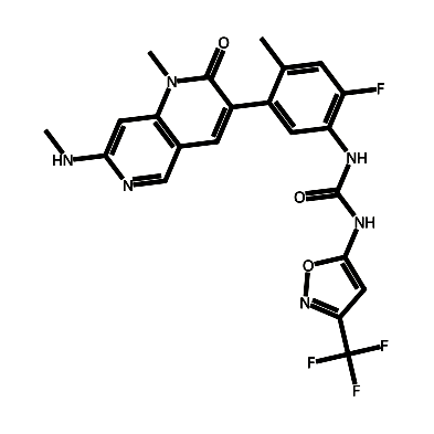 CNc1cc2c(cn1)cc(-c1cc(NC(=O)Nc3cc(C(F)(F)F)no3)c(F)cc1C)c(=O)n2C